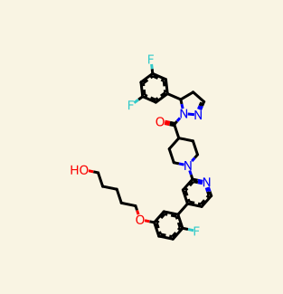 O=C(C1CCN(c2cc(-c3cc(OCCCCCO)ccc3F)ccn2)CC1)N1N=CCC1c1cc(F)cc(F)c1